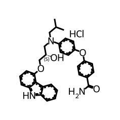 CC(C)CN(C[C@H](O)COc1cccc2[nH]c3ccccc3c12)c1ccc(Oc2ccc(C(N)=O)cc2)cc1.Cl